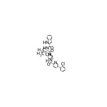 CC(C)(C)[C@H](NC(=O)c1cc2ccccc2[nH]1)C(=O)N1C[C@@H]2CC1CN2C(=O)c1ccc(-c2ccccc2Cl)cn1